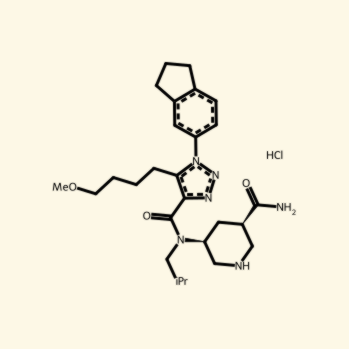 COCCCCc1c(C(=O)N(CC(C)C)[C@@H]2CNC[C@H](C(N)=O)C2)nnn1-c1ccc2c(c1)CCC2.Cl